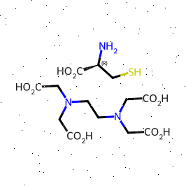 N[C@@H](CS)C(=O)O.O=C(O)CN(CCN(CC(=O)O)CC(=O)O)CC(=O)O